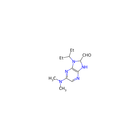 CCC(CC)N1c2nc(N(C)C)cnc2NC1C=O